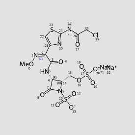 CO/N=C(\C(=O)N[C@H]1C(=O)N(S(=O)(=O)[O-])[C@H]1COS(=O)(=O)[O-])c1csc(NC(=O)CCl)n1.[Na+].[Na+]